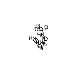 COc1cc(C=O)c(CNC2=NC(C(=O)Nc3cnccc3N3CCNCC3)=CCC2)cc1OC